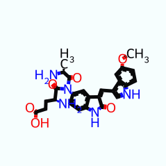 COc1ccc2[nH]cc(C=C3C(=O)Nc4ccc(N(C(=O)[C@H](C)N)C(=O)[C@@H](N)CCC(=O)O)cc43)c2c1